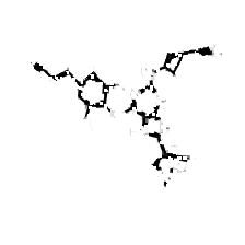 Cc1cc(/C=C/C#N)cc(C)c1Oc1nc(NC23CC(C#N)(C2)C3)nc2nc(-c3cnn(C)c3)[nH]c12